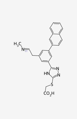 C/N=C/Cc1cc(-c2ccc3ccccc3c2)cc(-c2nnc(SCC(=O)O)[nH]2)c1